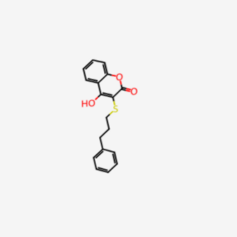 O=c1oc2ccccc2c(O)c1SCCCc1ccccc1